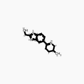 CC1CCC(c2ccc3sc(CO)nc3c2)=NC1